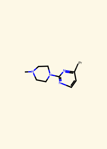 CC(C)c1ccnc(N2CCN(C)CC2)n1